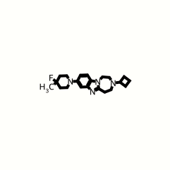 CC1(F)CCN(c2ccc3c(c2)nc2n3CCN(C3CCC3)CC2)CC1